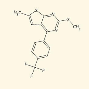 CSc1nc(-c2ccc(C(F)(F)F)cc2)c2cc(C)sc2n1